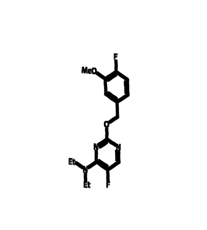 CCN(CC)c1nc(OCc2ccc(F)c(OC)c2)ncc1F